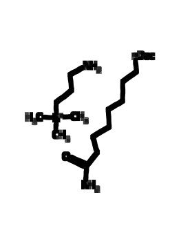 CCCCCCCCCCCCCCCCCC(N)=O.C[N+](C)(C)CCCN